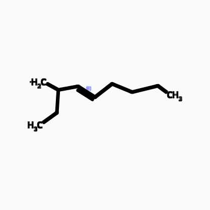 [CH2]C(/C=C/CCCC)CC